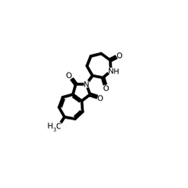 CC1C=CC2=C(C=C1)C(=O)N(C1CCCC(=O)NC1=O)C2=O